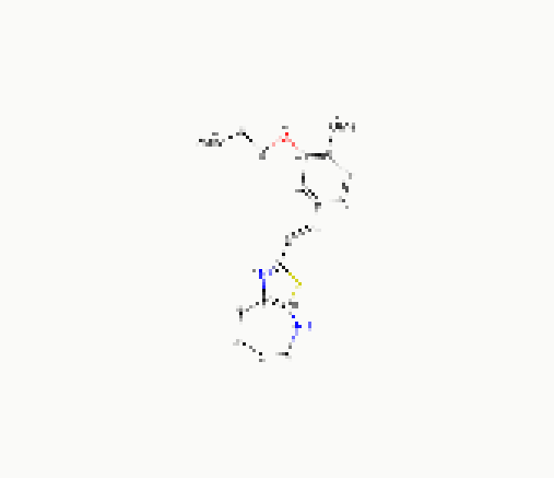 COc1ccc(/C=C/c2nc3c(s2)NCCCC3)cc1OCCSC